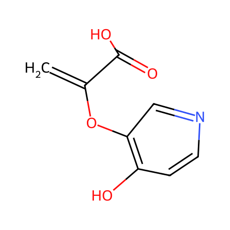 C=C(Oc1cnccc1O)C(=O)O